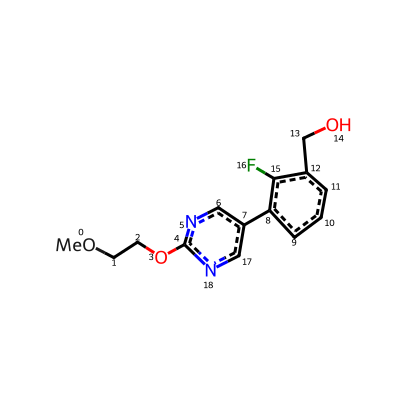 COCCOc1ncc(-c2cccc(CO)c2F)cn1